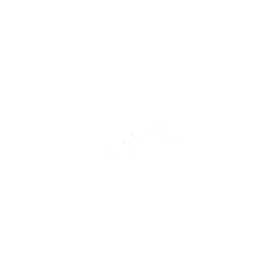 Cn1cnc(Nc2cc(=O)c2=O)c1